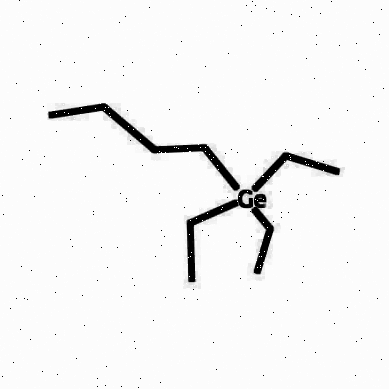 CCC[CH2][Ge]([CH2]C)([CH2]C)[CH2]C